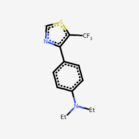 CCN(CC)c1ccc(-c2n[c]sc2C(F)(F)F)cc1